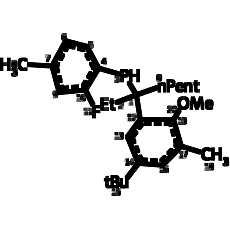 CCCCCC(CC)(Pc1ccc(C)cc1F)c1cc(C(C)(C)C)cc(C)c1OC